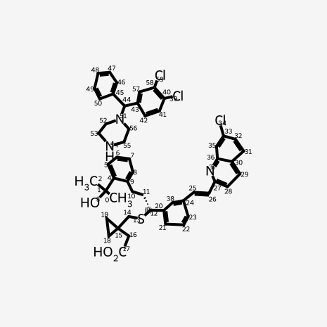 CC(C)(O)c1ccccc1CC[C@@H](SCC1(CC(=O)O)CC1)c1cccc(C=Cc2ccc3ccc(Cl)cc3n2)c1.Clc1ccc(C(c2ccccc2)N2CCNCC2)cc1Cl